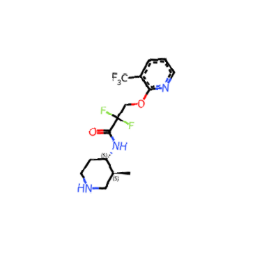 C[C@H]1CNCC[C@@H]1NC(=O)C(F)(F)COc1ncccc1C(F)(F)F